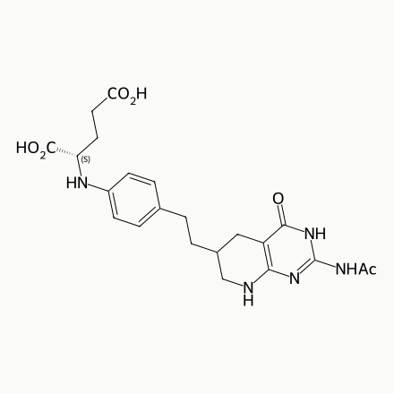 CC(=O)Nc1nc2c(c(=O)[nH]1)CC(CCc1ccc(N[C@@H](CCC(=O)O)C(=O)O)cc1)CN2